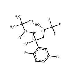 CC(C)(C)[S+]([O-])N[C@@](C)(C[C@H](O)C(F)(F)F)c1cc(Br)cnc1F